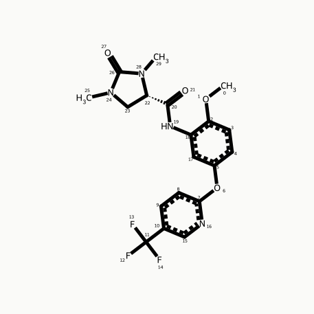 COc1ccc(Oc2ccc(C(F)(F)F)cn2)cc1NC(=O)[C@@H]1CN(C)C(=O)N1C